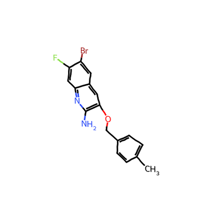 Cc1ccc(COc2cc3cc(Br)c(F)cc3nc2N)cc1